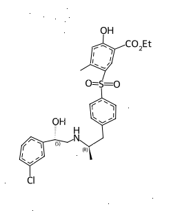 CCOC(=O)c1cc(S(=O)(=O)c2ccc(C[C@@H](C)NC[C@@H](O)c3cccc(Cl)c3)cc2)c(C)cc1O